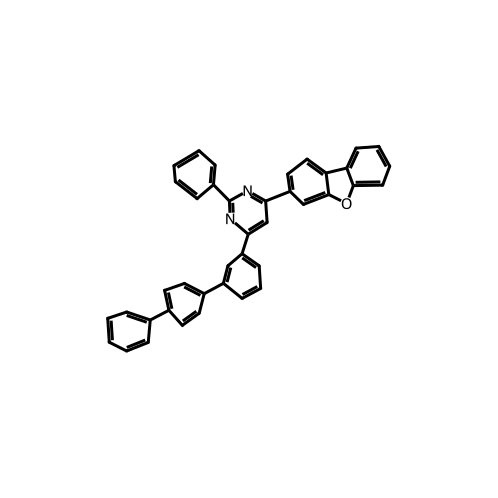 c1ccc(-c2ccc(-c3cccc(-c4cc(-c5ccc6c(c5)oc5ccccc56)nc(-c5ccccc5)n4)c3)cc2)cc1